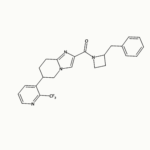 O=C(c1cn2c(n1)CCC(c1cccnc1C(F)(F)F)C2)N1CCC1Cc1ccccc1